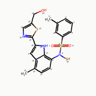 Cc1cccc(S(=O)(=O)N(S)c2ccc(C)c3cc(-c4ncc(CO)s4)[nH]c23)c1